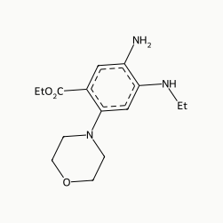 CCNc1cc(N2CCOCC2)c(C(=O)OCC)cc1N